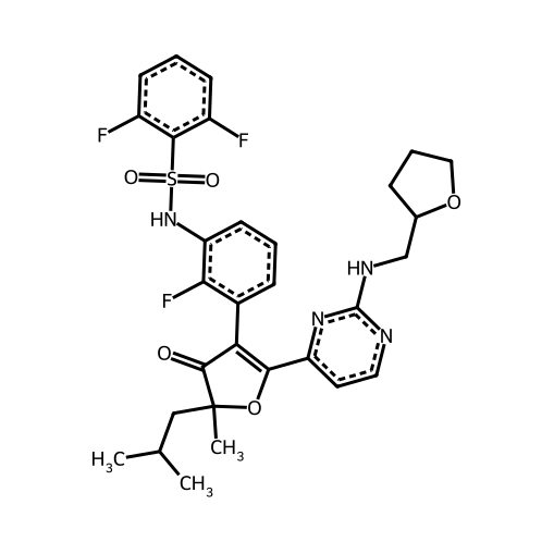 CC(C)CC1(C)OC(c2ccnc(NCC3CCCO3)n2)=C(c2cccc(NS(=O)(=O)c3c(F)cccc3F)c2F)C1=O